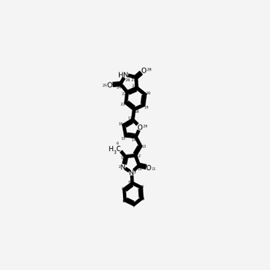 CC1=NN(c2ccccc2)C(=O)/C1=C/c1ccc(-c2ccc3c(c2)C(=O)NC3=O)o1